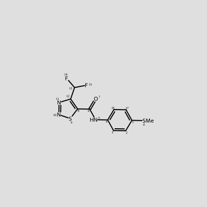 CSc1ccc(NC(=O)c2snnc2C(F)F)cc1